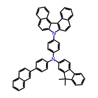 CC1(C)c2ccccc2-c2ccc(N(c3ccc(-c4ccc5ccccc5c4)cc3)c3ccc(-n4c5ccc6ccccc6c5c5c6ccccc6ccc54)cc3)cc21